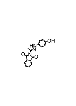 C/C(=N\Nc1ccc(O)cc1)N1C(=O)c2ccccc2C1=O